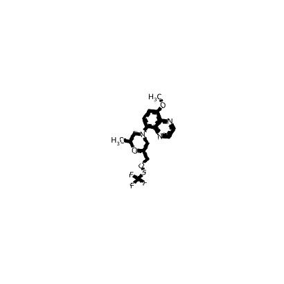 COc1ccc(N2CC(C)OC(COSC(F)(F)F)C2)c2nccnc12